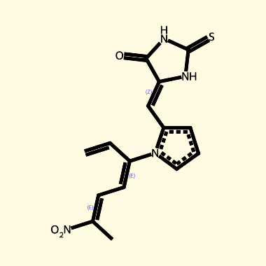 C=C/C(=C\C=C(/C)[N+](=O)[O-])n1cccc1/C=C1\NC(=S)NC1=O